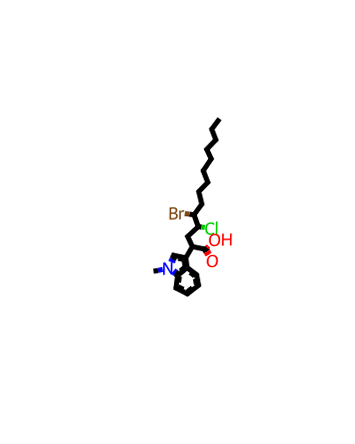 CCCCCCCCCC(Br)C(Cl)CC(C(=O)O)c1cn(C)c2ccccc12